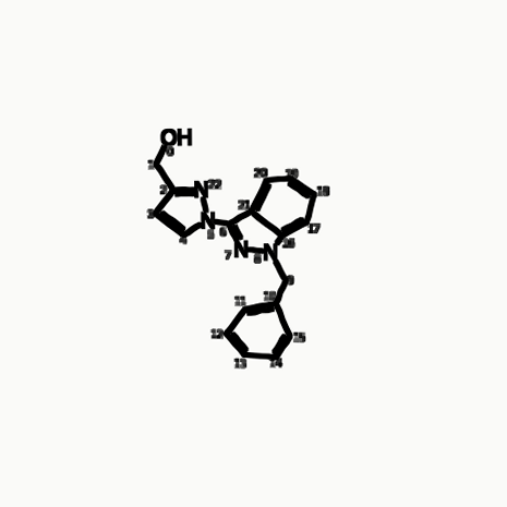 OCc1ccn(-c2nn(Cc3ccccc3)c3ccccc23)n1